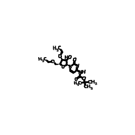 CCOC[C@H]1O[C@@H](n2ccc(NC(=O)OC(C)(C)C)nc2=O)C(O)[C@H]1OCC